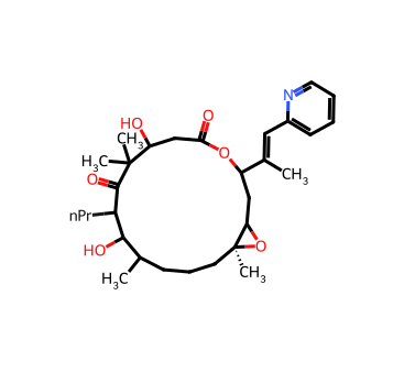 CCCC1C(=O)C(C)(C)C(O)CC(=O)OC(C(C)=Cc2ccccn2)CC2O[C@@]2(C)CCCC(C)C1O